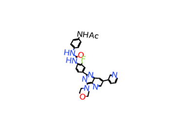 CC(=O)Nc1ccc(NC(=O)Nc2ccc(-c3nc(N4CCOCC4)c4ncc(-c5cccnc5)cc4n3)cc2F)cc1